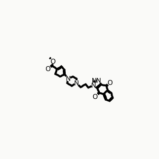 COC(=O)C1=CC=C(N2CCN(CCCn3nnc4c3C(=O)c3ccccc3C4=O)CC2)CC1